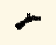 O=C(CC1CCC(O)CC1)NC1CCC(CCN2CCN(c3ccnc4occc34)CC2)CC1